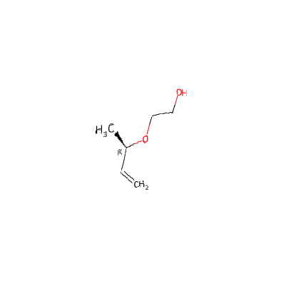 C=C[C@@H](C)OCCO